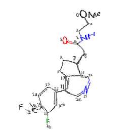 COCCNC(=O)CC1CCc2c(-c3ccc(C(F)(F)F)c(F)c3)cncc21